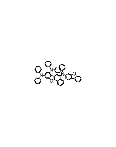 c1ccc(N(c2ccccc2)c2cc(N(c3ccccc3)c3ccccc3)c3c(c2)oc2c4ccccc4c(N(c4ccccc4)c4ccc5c(c4)oc4ccccc45)cc23)cc1